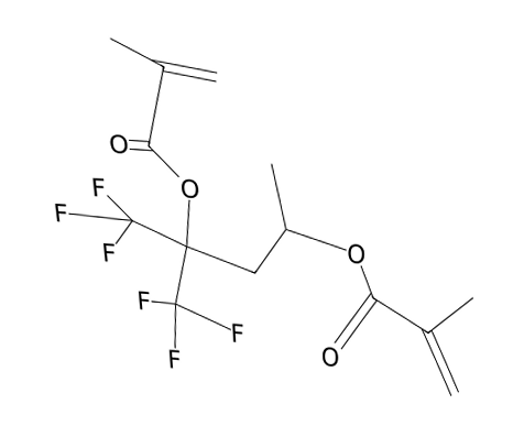 C=C(C)C(=O)OC(C)CC(OC(=O)C(=C)C)(C(F)(F)F)C(F)(F)F